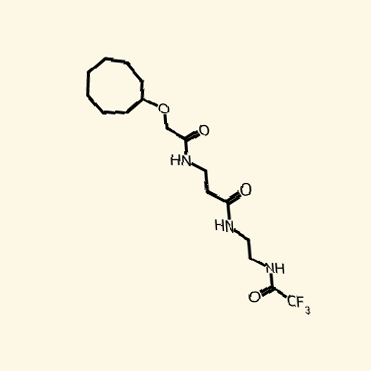 O=C(CCNC(=O)COC1CCCCCCC1)NCCNC(=O)C(F)(F)F